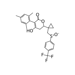 Cc1cc(C)c(C2=C(O)CC(C3(C[S+]([O-])c4ccc(C(F)(F)F)cc4)CC3)OC2=O)c(C)c1